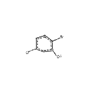 [CH]c1cc(Cl)ccc1Br